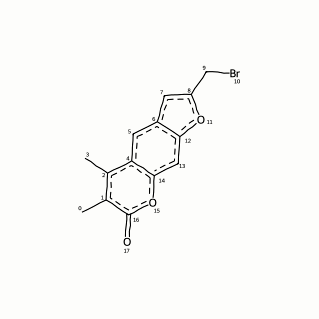 Cc1c(C)c2cc3cc(CBr)oc3cc2oc1=O